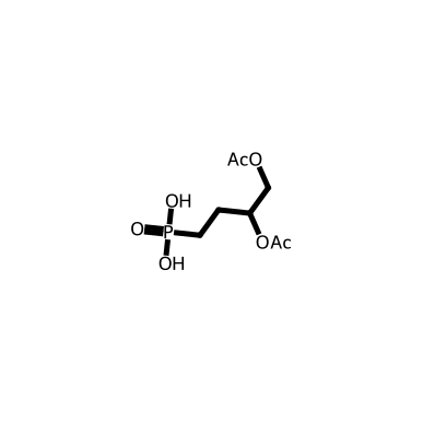 CC(=O)OCC(CCP(=O)(O)O)OC(C)=O